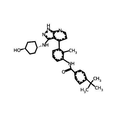 Cc1c(NC(=O)c2ccc(C(C)(C)C)cc2)cccc1-c1ccnc2[nH]nc(N[C@H]3CC[C@H](O)CC3)c12